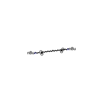 CCCC/C=C/CCCOC(=O)CCCCCCCCCCCCCCCC(=O)OCCC/C=C/CCCC